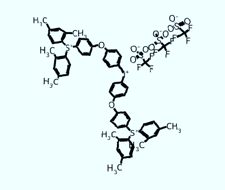 Cc1ccc([S+](c2ccc(Oc3ccc([I+]c4ccc(Oc5ccc([S+](c6ccc(C)cc6C)c6ccc(C)cc6C)cc5)cc4)cc3)cc2)c2ccc(C)cc2C)c(C)c1.O=S(=O)([O-])C(F)(F)F.O=S(=O)([O-])C(F)(F)F.O=S(=O)([O-])C(F)(F)F